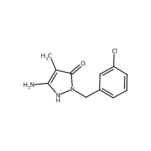 Cc1c(N)[nH]n(Cc2cccc(Cl)c2)c1=O